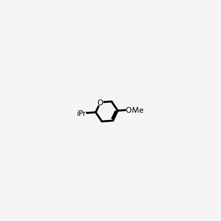 COC1=CCC(C(C)C)OC1